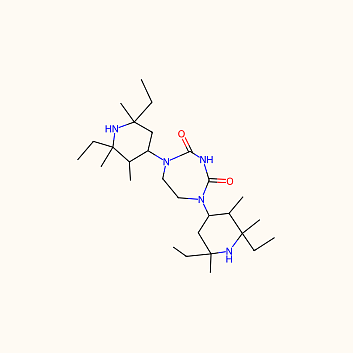 CCC1(C)CC(N2CCN(C3CC(C)(CC)NC(C)(CC)C3C)C(=O)NC2=O)C(C)C(C)(CC)N1